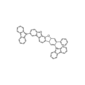 C1=C(c2ccccc2)C(n2c3ccccc3c3ccccc32)=CC2c3ccc4c(oc5ccc(-n6c7ccccc7c7ccccc76)cc54)c3OC12